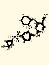 N#Cc1cnc(Nc2ccc(S(=O)(=O)NC3CC(F)(F)C3)cc2)nc1OC1CCCCC1O